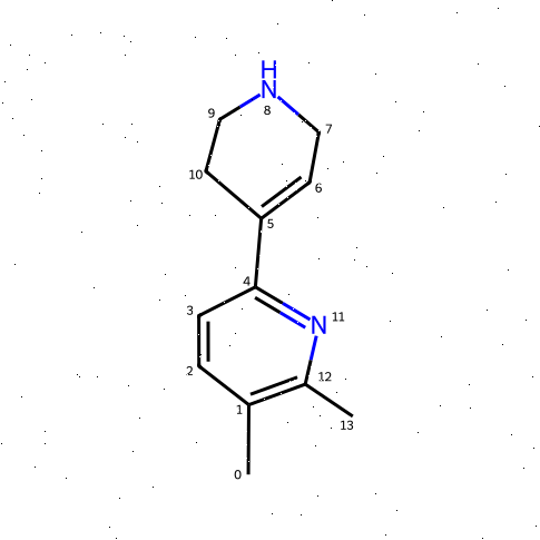 Cc1ccc(C2=CCNCC2)nc1C